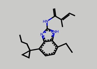 C=C(Nc1nc2c(C3(CCC)CC3)ccc(CC)c2[nH]1)/C(C)=C/C